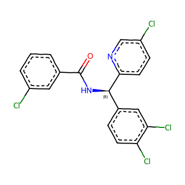 O=C(N[C@H](c1ccc(Cl)c(Cl)c1)c1ccc(Cl)cn1)c1cccc(Cl)c1